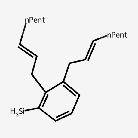 CCCCCC=CCc1cccc([SiH3])c1CC=CCCCCC